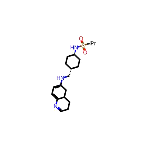 CC(C)S(=O)(=O)N[C@H]1CC[C@H](CNC2=CC=C3N=CCCC3C2)CC1